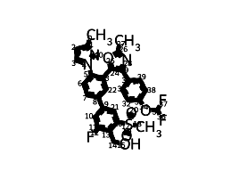 Cc1ccn(-c2ccc(-c3cc(F)c(CO)c(S(C)(=O)=O)c3)cc2-c2oc(C)nc2-c2ccc(OC(F)F)cc2)n1